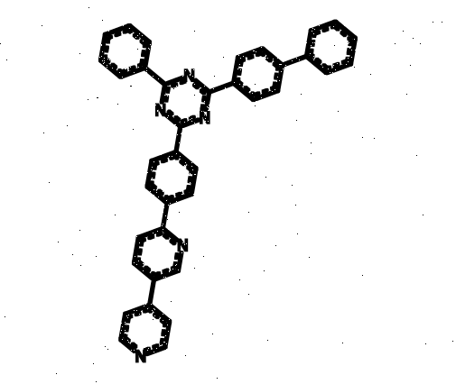 c1ccc(-c2ccc(-c3nc(-c4ccccc4)nc(-c4ccc(-c5ccc(-c6ccncc6)cn5)cc4)n3)cc2)cc1